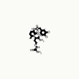 Cc1ccc(NS(=O)(=O)Cc2ccc(Cl)c(Cl)c2)c(=O)n1C(CCONC(=N)N)C(N)=O